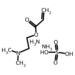 C=CC(=O)OCCN(C)C.N.N.O=S(=O)(O)O